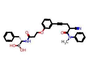 CN(C(=O)C(C#N)CC#Cc1cccc(OCCC(=O)N[C@@H](Cc2ccccc2)B(O)O)c1)c1ccccc1